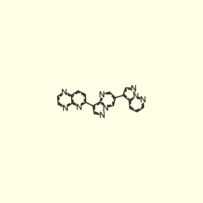 c1cnn2ncc(-c3cnc4c(-c5ccc6nccnc6n5)cnn4c3)c2c1